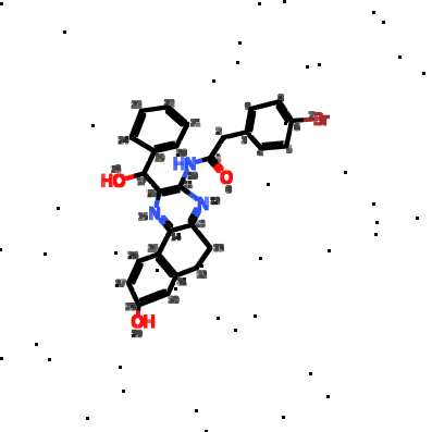 O=C(Cc1ccc(Br)cc1)Nc1nc2c(nc1C(O)c1ccccc1)-c1ccc(O)cc1CC2